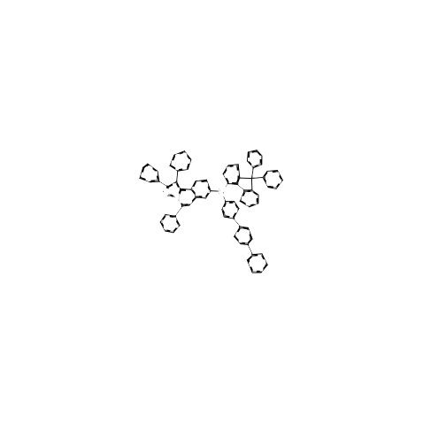 c1ccc(-c2ccc(-c3ccc(N(c4ccc5c(c4)cc(-c4ccccc4)n4nc(-c6ccccc6)c(-c6ccccc6)c54)c4cccc5c4-c4ccccc4C5(c4ccccc4)c4ccccc4)cc3)cc2)cc1